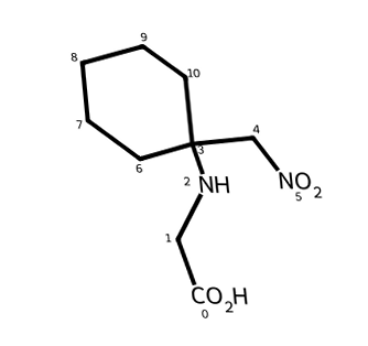 O=C(O)CNC1(C[N+](=O)[O-])CCCCC1